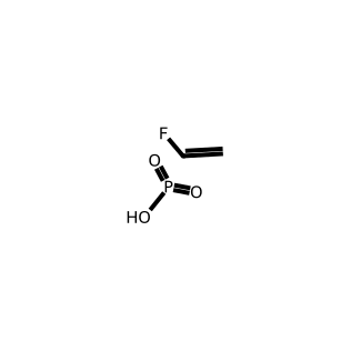 C=CF.O=P(=O)O